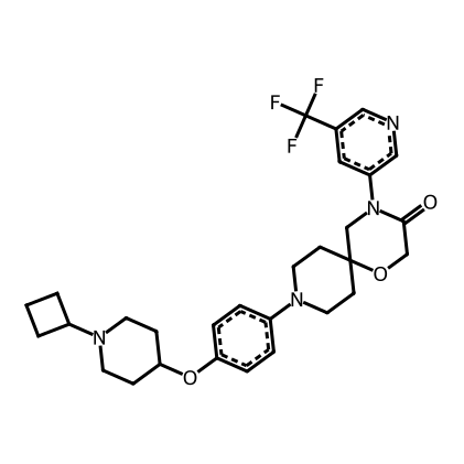 O=C1COC2(CCN(c3ccc(OC4CCN(C5CCC5)CC4)cc3)CC2)CN1c1cncc(C(F)(F)F)c1